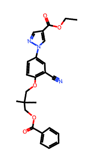 CCOC(=O)c1cnn(-c2ccc(OCC(C)(C)COC(=O)c3ccccc3)c(C#N)c2)c1